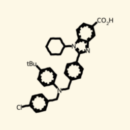 CC(C)(C)c1ccc(N(Cc2ccc(Cl)cc2)Cc2ccc(-c3nc4cc(C(=O)O)ccc4n3C3CCCCC3)cc2)cc1